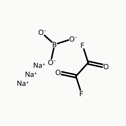 O=C(F)C(=O)F.[Na+].[Na+].[Na+].[O-]B([O-])[O-]